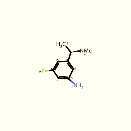 CN[C@H](C)c1cc(N)cc(F)c1